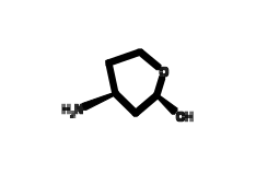 N[C@H]1CCO[C@@H](O)C1